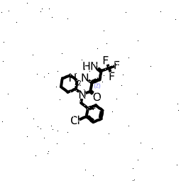 N=C(/C=C(\N)C(=O)N(Cc1ccccc1Cl)C1CCCCC1)C(F)(F)F